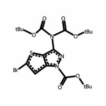 CC(C)(C)OC(=O)N(C(=O)OC(C)(C)C)c1nn(C(=O)OC(C)(C)C)c2cc(Br)sc12